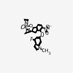 Cn1ccc2c(F)cc(Oc3c([N+](=O)[O-])ccc4c3CC[C@H]4OP(=O)(N3CC3)N3CC3)cc21